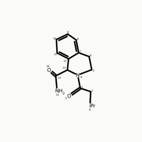 CC(C)CC(=O)N1CCc2c[c]ccc2C1C(N)=O